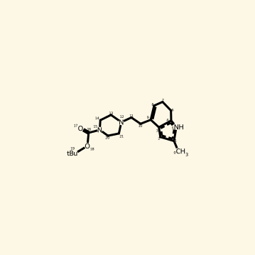 Cc1cc2c([nH]1)CCC=C2CCN1CCN(C(=O)OC(C)(C)C)CC1